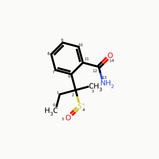 CCC(C)([S+]=O)c1ccccc1C(N)=O